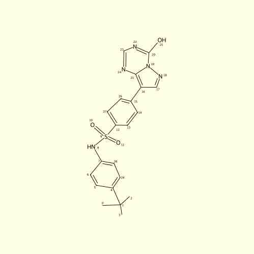 CC(C)(C)c1ccc(NS(=O)(=O)c2ccc(-c3cnn4c(O)ncnc34)cc2)cc1